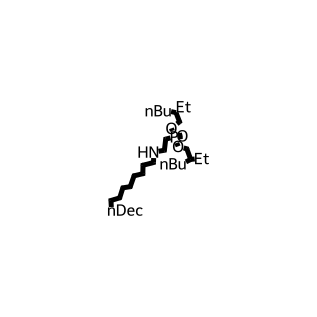 CCCCCCCCCCCCCCCCCCNCCP(=O)(OCC(CC)CCCC)OCC(CC)CCCC